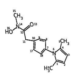 Cc1ccc(C)n1-c1ccc(CC(=O)N(C)O)cc1